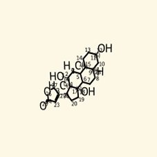 C[C@]12[C@H](O)CC3C(CC[C@@H]4C[C@@H](O)CC[C@]34C)[C@@]1(O)CC[C@@H]2C1=CC(=O)OC1